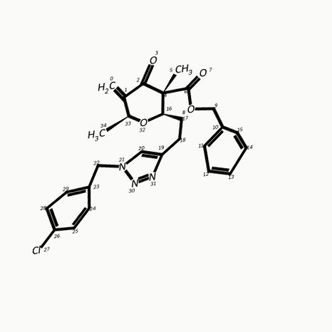 C=C1C(=O)[C@](C)(C(=O)OCc2ccccc2)[C@@H](CCc2cn(Cc3ccc(Cl)cc3)nn2)O[C@H]1C